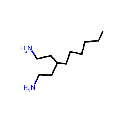 CCCCCCC(CCN)CCN